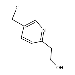 OCCc1ccc(CCl)cn1